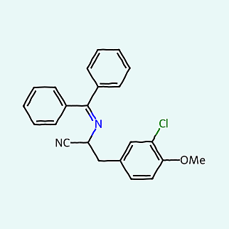 COc1ccc(CC(C#N)N=C(c2ccccc2)c2ccccc2)cc1Cl